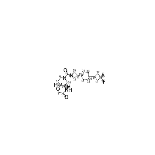 O=C1CO[C@H]2CCN(C(=O)N3CC(c4ccc(C5CC(F)(F)C5)cc4)C3)C[C@H]2N1